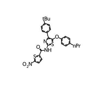 CCCc1ccc(Oc2sc(NC(=O)c3ccc([N+](=O)[O-])s3)nc2-c2ccc(C(C)(C)C)cc2)cc1